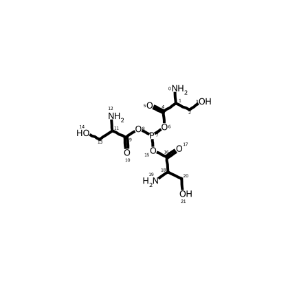 NC(CO)C(=O)OP(OC(=O)C(N)CO)OC(=O)C(N)CO